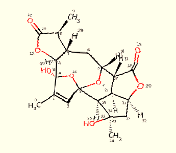 CC1=C[C@]23O[C@H](C[C@H]4[C@H](C)C(=O)O[C@@H]4[C@@]1(O)O2)[C@@H]1C(=O)O[C@H]2C[C@@](C)(O)[C@@H]3[C@@H]12